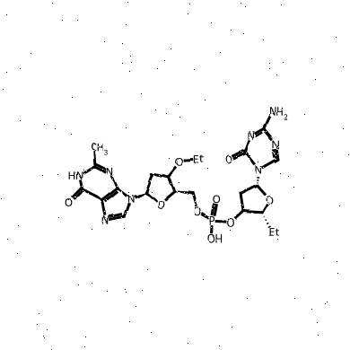 CCOC1C[C@H](n2cnc3c(=O)[nH]c(C)nc32)O[C@@H]1COP(=O)(O)OC1C[C@H](n2cnc(N)nc2=O)O[C@@H]1CC